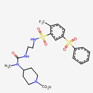 CN(C(=O)NCCNS(=O)(=O)c1cc(S(=O)(=O)c2ccccc2)ccc1C(F)(F)F)C1CCN(C(=O)O)CC1